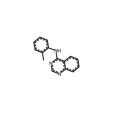 Cc1ccccc1Nc1ncnc2ccccc12